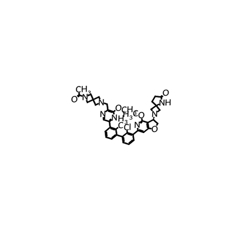 COc1nc(-c2cccc(-c3cccc(-c4cc5c(c(OC)n4)[C@@H](N4CC6(CCC(=O)N6)C4)CO5)c3Cl)c2C)cnc1CN1CC2(C1)CN(C(C)=O)C2